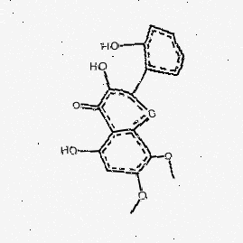 COc1cc(O)c2c(=O)c(O)c(-c3ccccc3O)oc2c1OC